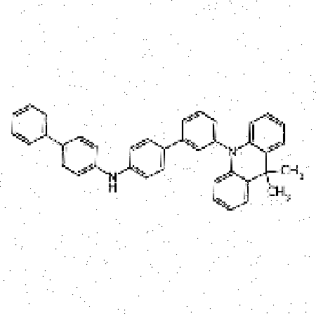 CC1(C)c2ccccc2N(c2cccc(-c3ccc(Nc4ccc(-c5ccccc5)cc4)cc3)c2)c2ccccc21